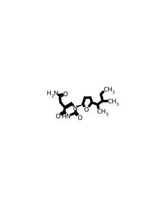 CCC(C)C(C)C1CC[C@H](n2cc(CC(N)=O)c(=O)[nH]c2=O)O1